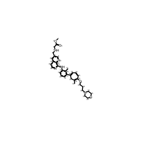 COC(=O)CNCc1cnc2c(Nc3cccc(C4=CC=CC(OCCCN5CCOCC5)=C(C)C4)c3C)nccc2c1